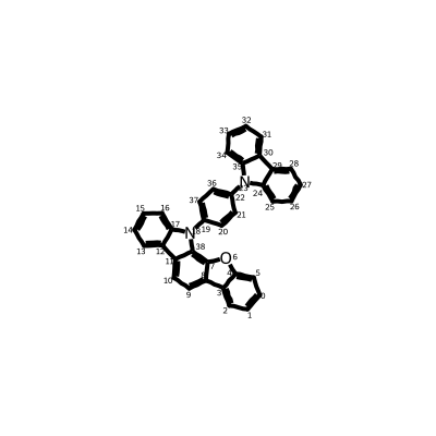 c1ccc2c(c1)oc1c2ccc2c3ccccc3n(-c3ccc(-n4c5ccccc5c5ccccc54)cc3)c21